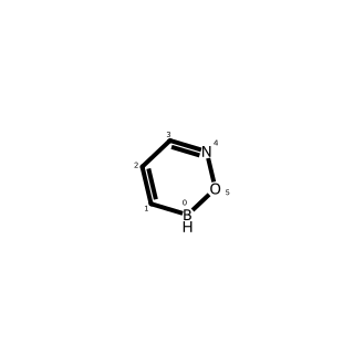 B1C=CC=NO1